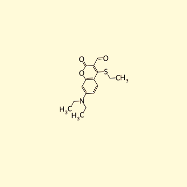 CCSc1c(C=O)c(=O)oc2cc(N(CC)CC)ccc12